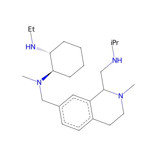 CCN[C@@H]1CCCC[C@H]1N(C)Cc1ccc2c(c1)C(CNC(C)C)N(C)CC2